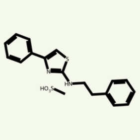 CS(=O)(=O)O.c1ccc(CCNc2nc(-c3ccccc3)cs2)cc1